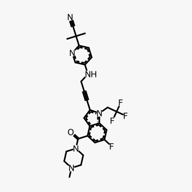 CN1CCN(C(=O)c2cc(F)cc3c2cc(C#CCNc2ccc(C(C)(C)C#N)nc2)n3CC(F)(F)F)CC1